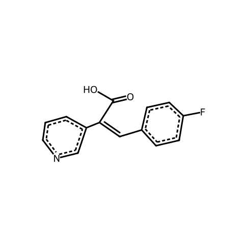 O=C(O)C(=Cc1ccc(F)cc1)c1cccnc1